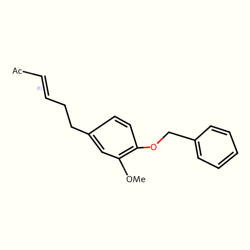 COc1cc(CC/C=C/C(C)=O)ccc1OCc1ccccc1